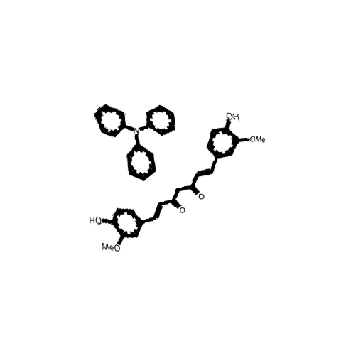 COc1cc(/C=C/C(=O)CC(=O)/C=C/c2ccc(O)c(OC)c2)ccc1O.c1ccc(N(c2ccccc2)c2ccccc2)cc1